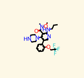 CCCNc1ncc(-c2ccccc2OCC(F)(F)F)c(N2CCNCC2)c1C(=O)N(C)OC